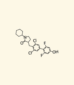 O=C1C(Cc2c(Cl)cc(-c3c(F)cc(O)cc3F)cc2Cl)CCN1C1CCCCC1